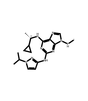 CC(C)n1ccc(Nc2nc(N[C@@H](C)C3CC3)c3ncn(PI)c3n2)n1